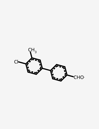 Cc1cc(-c2ccc([C]=O)cc2)ccc1Cl